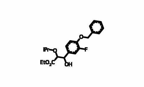 CCOC(=O)C(OC(C)C)C(O)c1ccc(OCc2ccccc2)c(F)c1